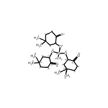 CC1(C)CCC(=O)C(O[Si](C)(OC2CC(C)(C)CCC2=O)OC2CC(C)(C)CCC2=O)C1